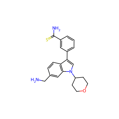 NCc1ccc2c(-c3cccc(C(N)=S)c3)cn(C3CCOCC3)c2c1